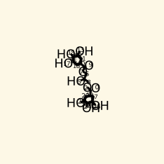 O=C(OCC(O)COC(=O)c1cc(O)c(O)c(O)c1)c1cc(O)c(O)c(O)c1